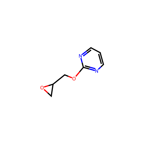 c1cnc(OCC2CO2)nc1